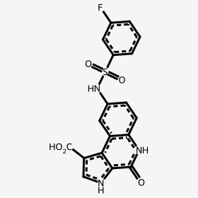 O=C(O)c1c[nH]c2c(=O)[nH]c3ccc(NS(=O)(=O)c4cccc(F)c4)cc3c12